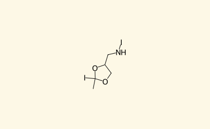 CC1(I)OCC(CNI)O1